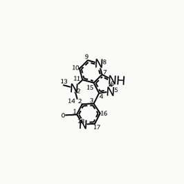 Cc1cc(-c2n[nH]c3nccc(N(C)C)c23)ccn1